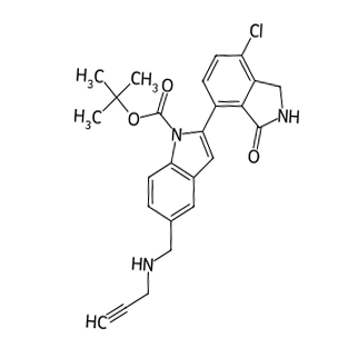 C#CCNCc1ccc2c(c1)cc(-c1ccc(Cl)c3c1C(=O)NC3)n2C(=O)OC(C)(C)C